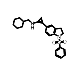 O=S(=O)(c1ccccc1)N1CCc2cc(C3=C(NCC4CCCCC4)C3)ccc21